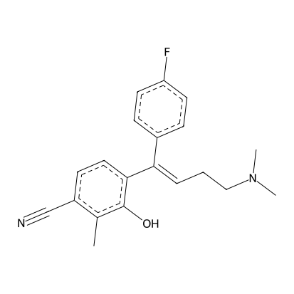 Cc1c(C#N)ccc(C(=CCCN(C)C)c2ccc(F)cc2)c1O